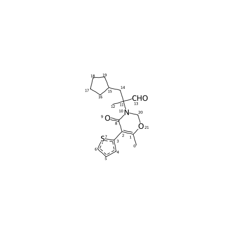 CC1=C(c2cccs2)C(=O)N(C(C)(C=O)CC2CCCC2)CO1